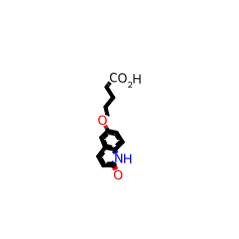 O=C(O)CCCCOc1ccc2[nH]c(=O)ccc2c1